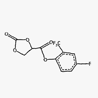 O=C1OCC(C(=O)Oc2ccc(F)cc2C(F)(F)F)O1